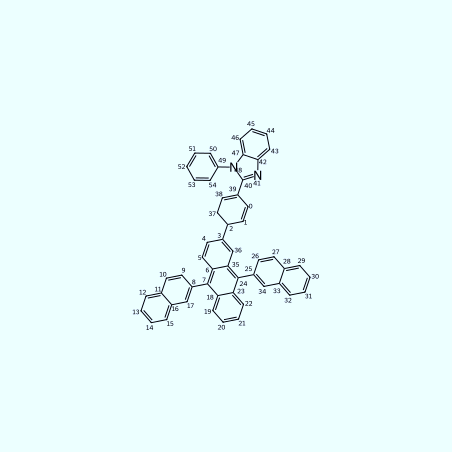 C1=CC(c2ccc3c(-c4ccc5ccccc5c4)c4ccccc4c(-c4ccc5ccccc5c4)c3c2)CC=C1c1nc2ccccc2n1-c1ccccc1